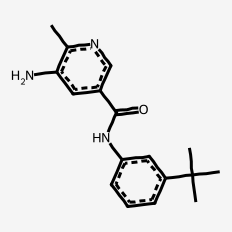 Cc1ncc(C(=O)Nc2cccc(C(C)(C)C)c2)cc1N